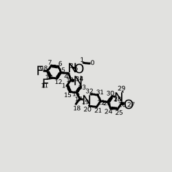 CCON=C(c1ccc(F)c(F)c1)c1ccc(C(C)N2CCC(c3ccc(=O)n(C)c3)CC2)cn1